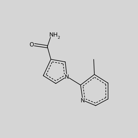 Cc1cccnc1-n1ccc(C(N)=O)c1